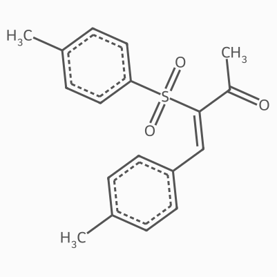 CC(=O)/C(=C/c1ccc(C)cc1)S(=O)(=O)c1ccc(C)cc1